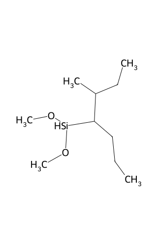 CCCC(C(C)CC)[SiH](OC)OC